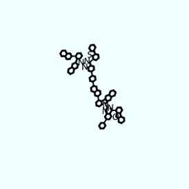 c1ccc(-c2ccc3c(-c4cccc5c4oc4ccccc45)nc(-n4c5cc6ccccc6cc5c5c(-c6ccc7cc(-c8ccc(-c9ccc%10c(-c%11cccc%12c%11sc%11ccccc%11%12)nc(-n%11c%12cc%13ccccc%13cc%12c%12c(-c%13ccc%14ccccc%14c%13)cccc%12%11)nc%10c9)cc8)ccc7c6)cccc54)nc3c2)cc1